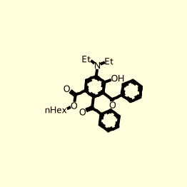 CCCCCCOC(=O)c1cc(N(CC)CC)c(O)c(C(=O)c2ccccc2)c1C(=O)c1ccccc1